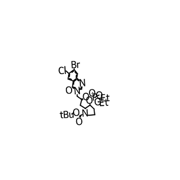 CCOP(=O)(OCC)OC1CCCN(C(=O)OC(C)(C)C)C1CC(=O)Cn1cnc2cc(Br)c(Cl)cc2c1=O